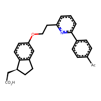 CC(=O)c1ccc(-c2cccc(CCOc3ccc4c(c3)CC[C@H]4CC(=O)O)n2)cc1